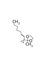 CCCCCC=CC1(C2(C)OCCO2)CC1